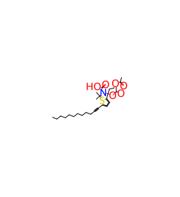 CCCCCCCCCCC#Cc1ccc(C(CCOC(C)=O)(OC(C)=O)N(C(=O)O)C(C)(C)C)s1